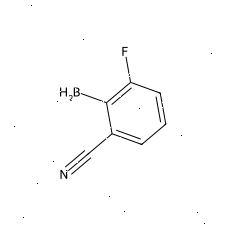 Bc1c(F)cccc1C#N